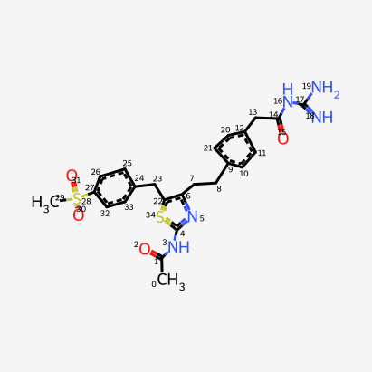 CC(=O)Nc1nc(CCc2ccc(CC(=O)NC(=N)N)cc2)c(Cc2ccc(S(C)(=O)=O)cc2)s1